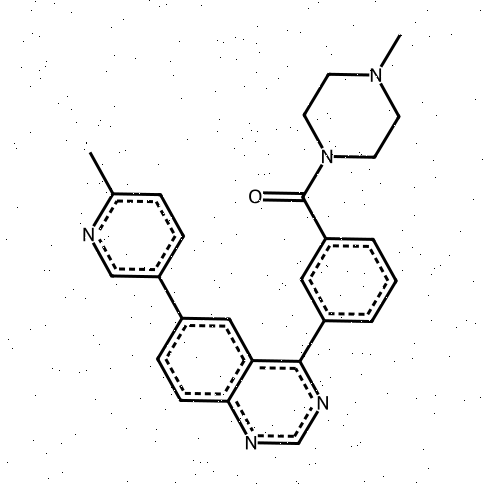 Cc1ccc(-c2ccc3ncnc(-c4cccc(C(=O)N5CCN(C)CC5)c4)c3c2)cn1